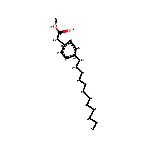 CCCCCCCCCCCCc1ccc(CC(=O)OC)cc1